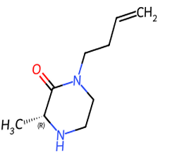 C=CCCN1CCN[C@H](C)C1=O